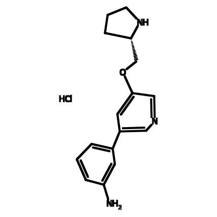 Cl.Nc1cccc(-c2cncc(OC[C@@H]3CCCN3)c2)c1